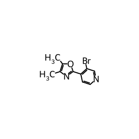 Cc1nc(-c2ccncc2Br)oc1C